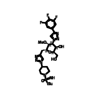 CO[C@@H]1[C@@H](n2cc(-c3cc(F)c(F)c(F)c3)nn2)[C@@H](O)[C@@H](CO)O[C@@H]1Cc1cn(C2CCN(S(=N)(=O)C(C)(C)C)CC2)nn1